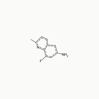 Cc1ccc2cc(N)cc(F)c2n1